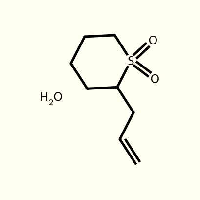 C=CCC1CCCCS1(=O)=O.O